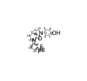 O=C1N([C@H]2CC[C@H](O)CC2)CC[C@]12CCCN(c1cccc(C(F)(F)F)c1)C2